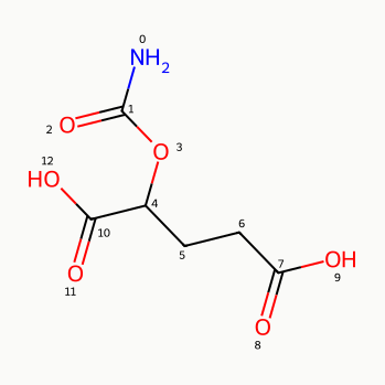 NC(=O)OC(CCC(=O)O)C(=O)O